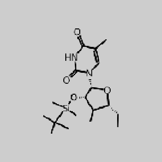 CC[C@H]1O[C@@H](n2cc(C)c(=O)[nH]c2=O)[C@@H](O[Si](C)(C)C(C)(C)C)C1C